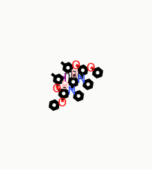 CCCCc1cc(C)cc2c1B1c3cc4c(cc3N(c3ccccc3)c3cc(Oc5ccccc5)cc(c31)O2)N(c1ccccc1)c1cc(Oc2ccccc2)cc2c1B4c1c(I)cc(C)cc1O2